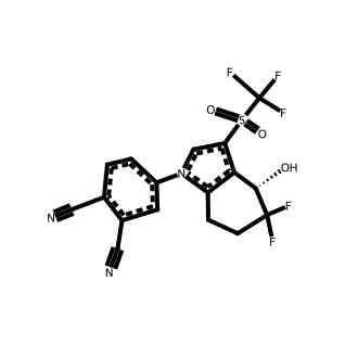 N#Cc1ccc(-n2cc(S(=O)(=O)C(F)(F)F)c3c2CCC(F)(F)[C@H]3O)cc1C#N